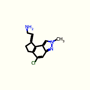 Cn1cc2c3c(c(Cl)cc2n1)CCC3=CCN